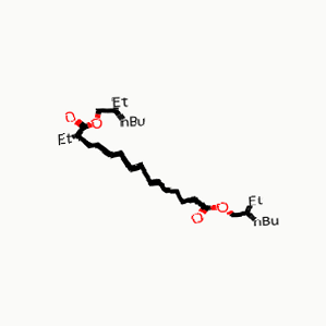 CCCCC(CC)COC(=O)CCCCCCCCCCCCC(CC)C(=O)OCC(CC)CCCC